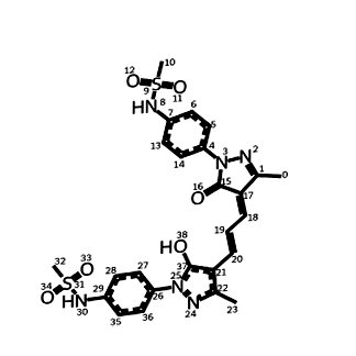 CC1=NN(c2ccc(NS(C)(=O)=O)cc2)C(=O)C1=CC=Cc1c(C)nn(-c2ccc(NS(C)(=O)=O)cc2)c1O